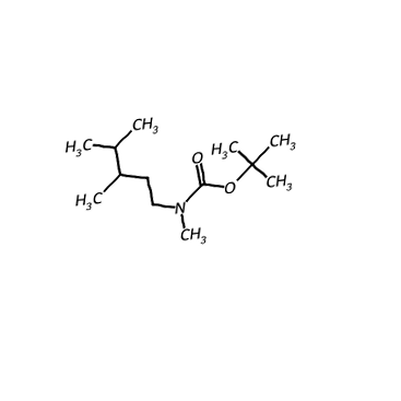 CC(C)C(C)CCN(C)C(=O)OC(C)(C)C